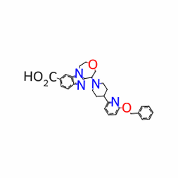 O=C(O)c1ccc2nc3n(c2c1)CCOC[C@H]3N1CCC(c2cccc(OCc3ccccc3)n2)CC1